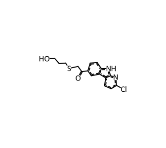 O=C(CSCCCO)c1ccc2[nH]c3nc(Cl)ccc3c2c1